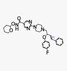 O=C(NOC1CCCCO1)c1cnc(N2CCN(CC(/C=C/c3ccccc3)Oc3ccc(F)cc3)CC2)nc1